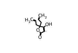 C=CCC1(CC=C)OC(=O)[C]=C1O